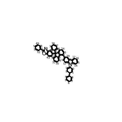 C1=CC(c2ccccc2)CC=C1n1c2ccccc2c2cc(-c3cccc4c3-c3ccccc3C4(c3ccccc3)c3ccc4oc(-c5ccccc5)nc4c3)ccc21